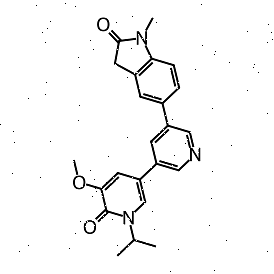 COc1cc(-c2cncc(-c3ccc4c(c3)CC(=O)N4C)c2)cn(C(C)C)c1=O